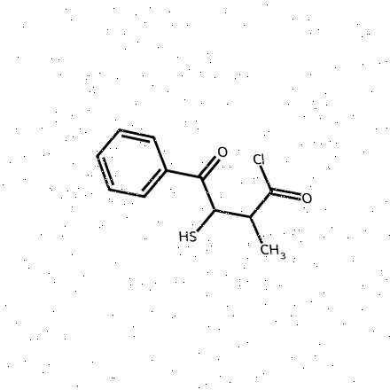 CC(C(=O)Cl)C(S)C(=O)c1ccccc1